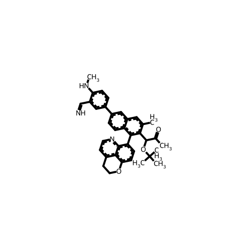 CNc1ccc(-c2ccc3c(-c4ccc5c6c(ccnc46)CCO5)c(C(OC(C)(C)C)C(C)=O)c(C)cc3c2)cc1C=N